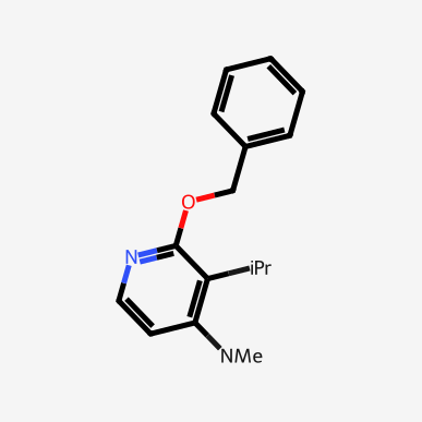 CNc1ccnc(OCc2ccccc2)c1C(C)C